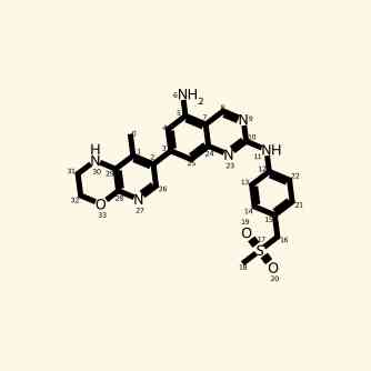 Cc1c(-c2cc(N)c3cnc(Nc4ccc(CS(C)(=O)=O)cc4)nc3c2)cnc2c1NCCO2